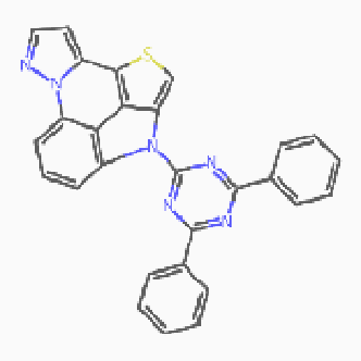 c1ccc(-c2nc(-c3ccccc3)nc(-n3c4csc5c4c4c3cccc4n3nccc53)n2)cc1